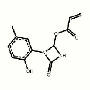 C=CC(=O)OC1NC(=O)N1c1cc(C)ccc1O